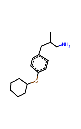 CC(CN)Cc1ccc(SC2CCCCC2)cc1